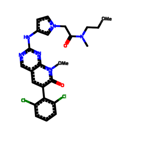 COCCN(C)C(=O)Cn1ccc(Nc2ncc3cc(-c4c(Cl)cccc4Cl)c(=O)n(OC)c3n2)c1